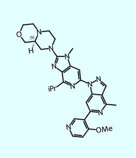 COc1ccncc1-c1cc2c(cnn2-c2cc3c(nc(N4CCN5CCOC[C@@H]5C4)n3C)c(C(C)C)n2)c(C)n1